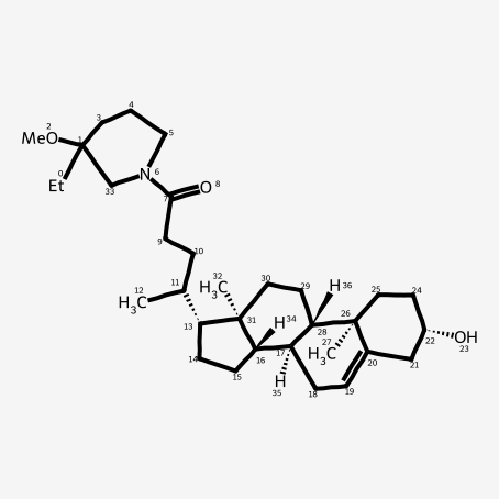 CCC1(OC)CCCN(C(=O)CCC(C)[C@H]2CC[C@H]3[C@@H]4CC=C5C[C@@H](O)CC[C@]5(C)[C@H]4CC[C@]23C)C1